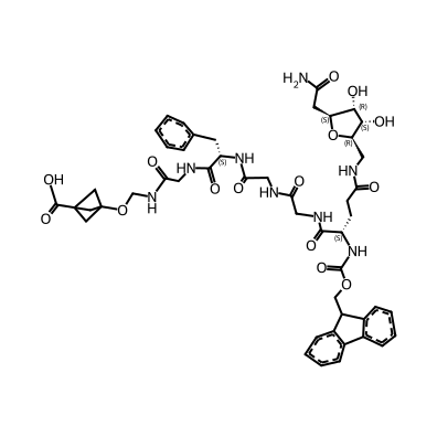 NC(=O)C[C@@H]1O[C@H](CNC(=O)CC[C@H](NC(=O)OCC2c3ccccc3-c3ccccc32)C(=O)NCC(=O)NCC(=O)N[C@@H](Cc2ccccc2)C(=O)NCC(=O)NCOC23CC(C(=O)O)(C2)C3)[C@@H](O)[C@H]1O